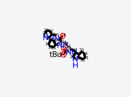 CC(C)(C)OC(=O)N[C@H](CSC[C@H](Nc1ccccc1)C(=O)NCc1cccnc1)Cc1c[nH]c2ccccc12